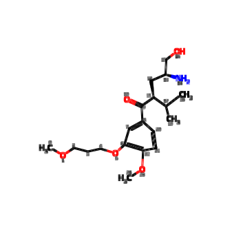 COCCCOc1cc(C(=O)[C@@H](C[C@H](N)CO)C(C)C)ccc1OC